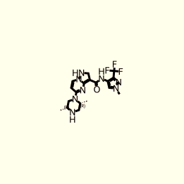 C[C@@H]1CN(C2=NC3=C(C(=O)Nc4cn(C)nc4C(F)(F)F)CNN3C=C2)[C@H](C)CN1